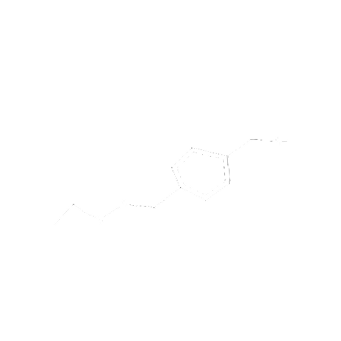 CCSSCc1ccc(CS)cc1